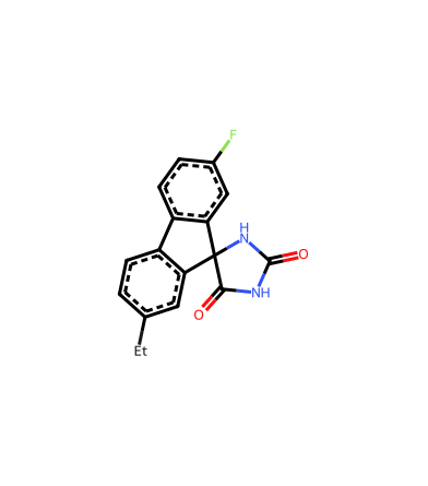 CCc1ccc2c(c1)C1(NC(=O)NC1=O)c1cc(F)ccc1-2